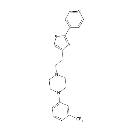 FC(F)(F)c1cccc(N2CCN(CCc3csc(-c4ccncc4)n3)CC2)c1